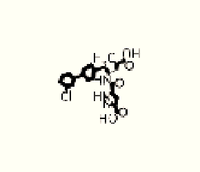 C[C@@H](C[C@@H](Cc1ccc(-c2cccc(Cl)c2)cc1)NC(=O)c1cc(C(=O)O)n[nH]1)C(=O)O